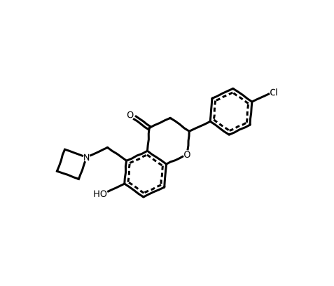 O=C1CC(c2ccc(Cl)cc2)Oc2ccc(O)c(CN3CCC3)c21